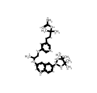 CC(COc1cncc(CCC(C)(C)OC(N)=O)c1)Oc1cnc2ccc(B3OC(C)(C)C(C)(C)O3)cc2c1